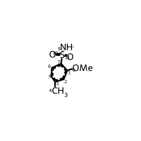 COc1cc(C)ccc1S([NH])(=O)=O